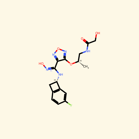 C[C@@H](CNC(=O)CO)Oc1nonc1/C(=N\O)N[C@H]1Cc2ccc(F)cc21